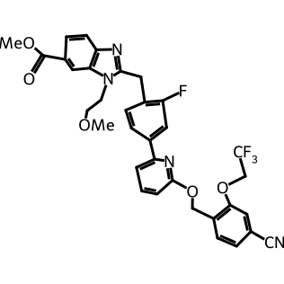 COCCn1c(Cc2ccc(-c3cccc(OCc4ccc(C#N)cc4OCC(F)(F)F)n3)cc2F)nc2ccc(C(=O)OC)cc21